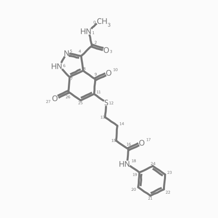 CNC(=O)c1n[nH]c2c1C(=O)C(SCCCC(=O)Nc1ccccc1)=CC2=O